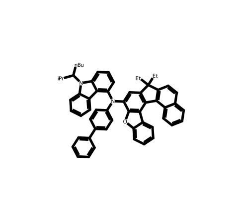 CCCCC(C(C)C)n1c2ccccc2c2c(N(c3ccc(-c4ccccc4)cc3)c3cc4c(c5c3oc3ccccc35)-c3c(ccc5ccccc35)C4(CC)CC)cccc21